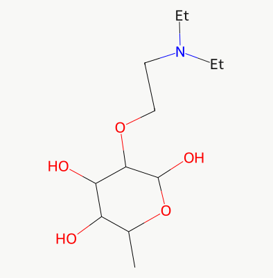 CCN(CC)CCOC1C(O)OC(C)C(O)C1O